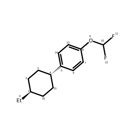 CC[C@H]1CC[C@H](c2ccc(OC(F)F)cc2)CC1